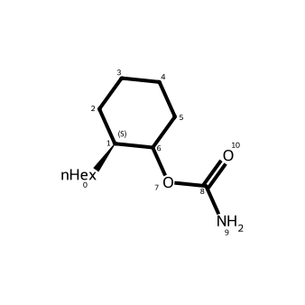 CCCCCC[C@H]1CCCCC1OC(N)=O